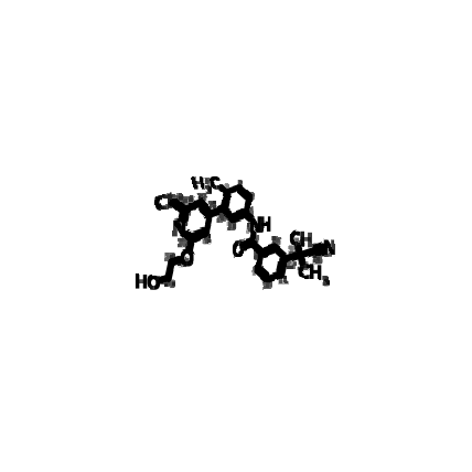 Cc1ccc(NC(=O)c2cccc(C(C)(C)C#N)c2)cc1-c1cc(Cl)nc(OCCO)c1